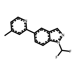 Cc1ccnc(-c2ccc3c(cnn3C(F)F)c2)c1